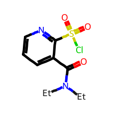 CCN(CC)C(=O)c1cccnc1S(=O)(=O)Cl